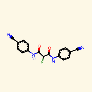 N#Cc1ccc(NC(=O)C(F)C(=O)Nc2ccc(C#N)cc2)cc1